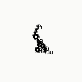 CC(C)CCCCC1CCCC(SCC(CSC2CCCCC2)C(=O)c2ccc(C(=O)NC(C)(C)C)cc2)CC1